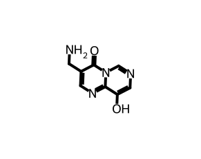 NCc1cnc2c(O)cncn2c1=O